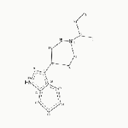 CCC(C)N1CCC(c2c[nH]c3ccccc23)CC1